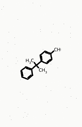 [CH]c1ccc(C(C)(C)c2ccccc2)cc1